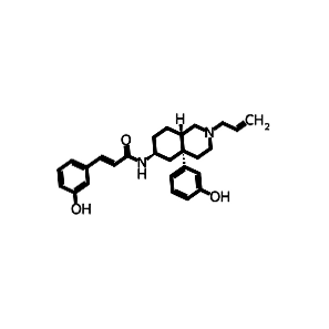 C=CCN1CC[C@@]2(c3cccc(O)c3)C[C@@H](NC(=O)C=Cc3cccc(O)c3)CC[C@@H]2C1